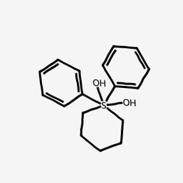 OS1(O)(c2ccccc2)(c2ccccc2)CCCCC1